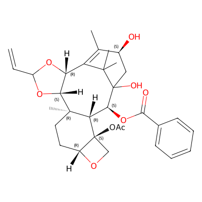 C=CC1O[C@@H]2C3=C(C)[C@@H](O)CC(O)([C@@H](OC(=O)c4ccccc4)[C@H]4[C@@](C)(CC[C@H]5OC[C@]54OC(C)=O)[C@@H]2O1)C3(C)C